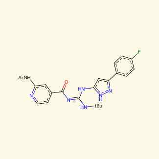 CC(=O)Nc1cc(C(=O)/N=C(\Nc2cc(-c3ccc(F)cc3)n[nH]2)NC(C)(C)C)ccn1